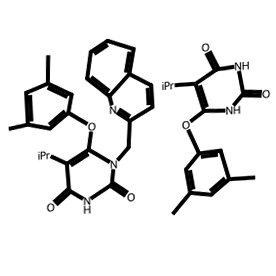 Cc1cc(C)cc(Oc2[nH]c(=O)[nH]c(=O)c2C(C)C)c1.Cc1cc(C)cc(Oc2c(C(C)C)c(=O)[nH]c(=O)n2Cc2ccc3ccccc3n2)c1